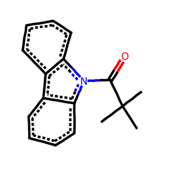 CC(C)(C)C(=O)n1c2ccccc2c2ccccc21